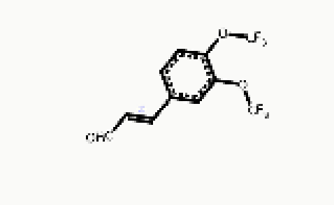 O=C/C=C/c1ccc(OC(F)(F)F)c(OC(F)(F)F)c1